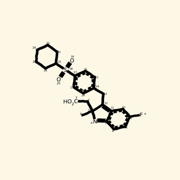 CC1(CC(=O)O)N=c2ccc(F)cc2=C1Cc1ccc(S(=O)(=O)C2CCCCC2)cc1